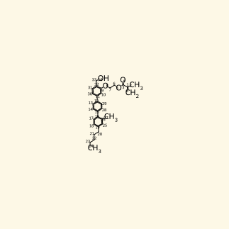 C=C(C)C(=O)OCCOc1cc(-c2ccc(-c3ccc(CCCCC)cc3C)cc2)ccc1CO